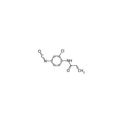 C=CC(=O)Nc1ccc(N=C=O)cc1Cl